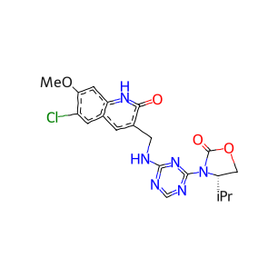 COc1cc2[nH]c(=O)c(CNc3ncnc(N4C(=O)OC[C@@H]4C(C)C)n3)cc2cc1Cl